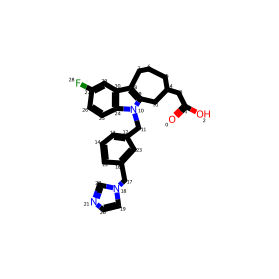 O=C(O)CC1CCCc2c(n(Cc3cccc(Cn4ccnc4)c3)c3ccc(F)cc23)C1